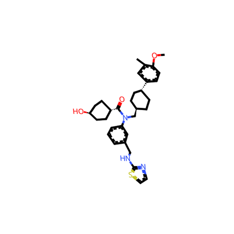 COc1ccc([C@H]2CC[C@H](CN(c3cccc(CNc4nccs4)c3)C(=O)[C@H]3CC[C@H](O)CC3)CC2)cc1C